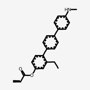 C=CC(=O)Oc1ccc(-c2ccc(-c3ccc(NC)cc3)cc2)c(CC)c1